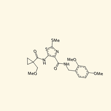 COCC1(C(=O)Nc2sc(SC)nc2C(=O)NCc2ccc(OC)cc2OC)CC1